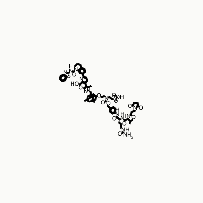 Cc1c(-c2ccc(-c3ccc4c(c3)N(C(=O)Nc3nc5ccccc5s3)CCC4)nc2C(=O)O)cnn1CC12CC3(C)CC(C)(C1)CC(OCCN(CCS(=O)(=O)O)C(=O)OCc1ccc(NC(=O)[C@H](CCCNC(N)=O)NC(=O)[C@@H](NC(=O)CCN4C(=O)C=CC4=O)C(C)C)cc1)(C3)C2